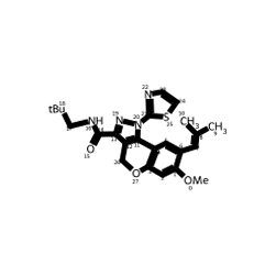 COc1cc2c(cc1C=C(C)C)-c1c(c(C(=O)NCC(C)(C)C)nn1-c1nccs1)CO2